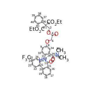 CCOC(=O)C(COC(=O)COc1ccc(NC(=O)c2ccccc2-c2ccc(C(F)(F)F)cc2)c(C(=O)N(C)C)c1)(C(=O)OCC)c1ccccc1